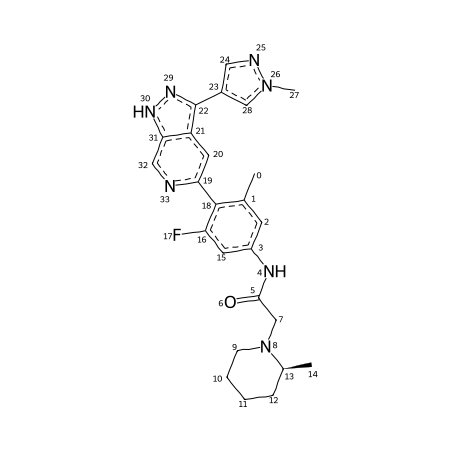 Cc1cc(NC(=O)CN2CCCC[C@@H]2C)cc(F)c1-c1cc2c(-c3cnn(C)c3)n[nH]c2cn1